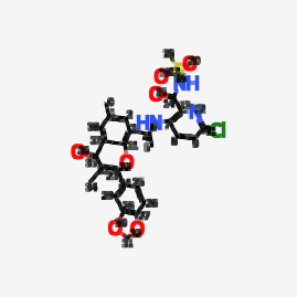 Cc1cc(C(C)Nc2ccc(Cl)nc2C(=O)NS(C)(=O)=O)c2oc(-c3ccc4c(c3)OCO4)c(C)c(=O)c2c1